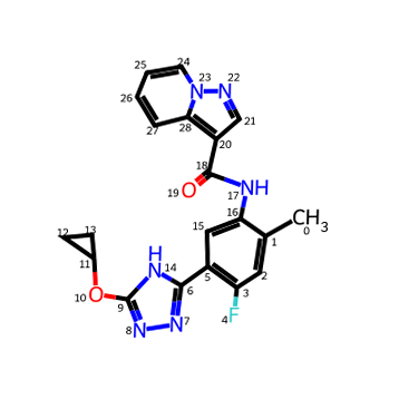 Cc1cc(F)c(-c2nnc(OC3CC3)[nH]2)cc1NC(=O)c1cnn2ccccc12